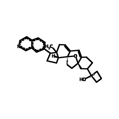 CC12CC=C3C=C4CCC([N+]5(O)CCC5)C[C@]45CC[C@]3(O5)[C@@H]1CCC2c1ccc2ccncc2c1